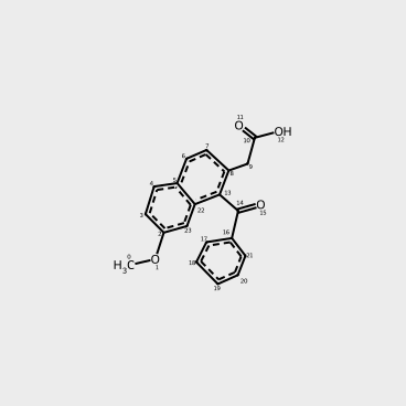 COc1ccc2ccc(CC(=O)O)c(C(=O)c3ccccc3)c2c1